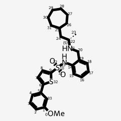 COc1cccc(-c2ccc(S(=O)(=O)Nc3ccccc3CN[C@@H](C)CC3CCCCCC3)s2)c1